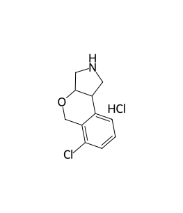 Cl.Clc1cccc2c1COC1CNCC21